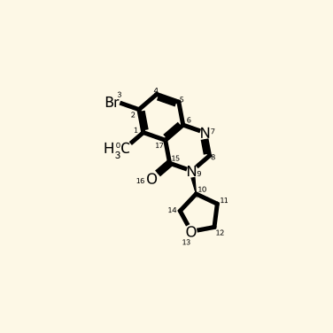 Cc1c(Br)ccc2ncn([C@H]3CCOC3)c(=O)c12